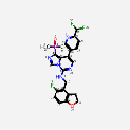 CP(C)(=O)c1ncn2c(NCc3c(F)ccc4c3CCO4)ncc(-c3ccc(C(F)F)nc3)c12